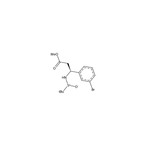 COC(=O)C[C@H](N[S+]([O-])C(C)(C)C)c1cccc(Br)c1